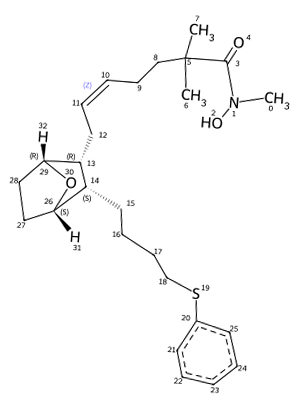 CN(O)C(=O)C(C)(C)CC/C=C\C[C@@H]1[C@H](CCCCSc2ccccc2)[C@@H]2CC[C@H]1O2